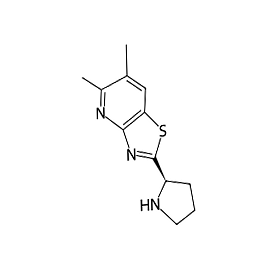 Cc1cc2sc([C@H]3CCCN3)nc2nc1C